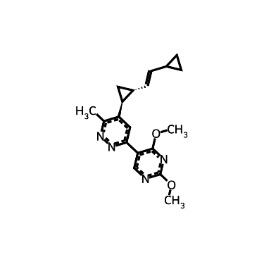 COc1ncc(-c2cc([C@H]3C[C@@H]3/C=C/C3CC3)c(C)nn2)c(OC)n1